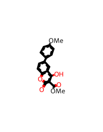 COC(=O)c1c(O)c2cc(-c3ccc(OC)cc3)ccc2oc1=O